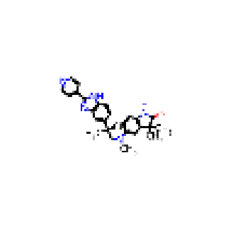 CN(CC(C)(C)c1ccc2[nH]c(-c3ccncc3)nc2c1)c1ccc2c(c1)C(C)(C)C(=O)N2